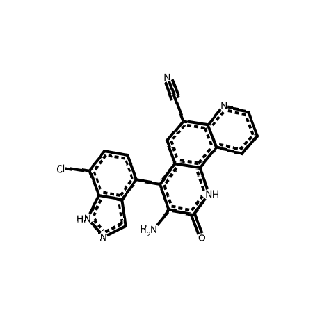 N#Cc1cc2c(-c3ccc(Cl)c4[nH]ncc34)c(N)c(=O)[nH]c2c2cccnc12